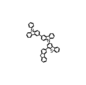 c1ccc(-n2c3ccccc3c3cc(-c4ccc5c(c4)c4ccccc4n5-c4cc(-c5ccc6c(c5)-c5ccccc5C6)c5sc6ccccc6c5c4)ccc32)cc1